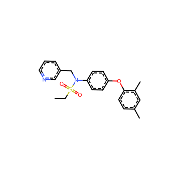 CCS(=O)(=O)N(Cc1cccnc1)c1ccc(Oc2ccc(C)cc2C)cc1